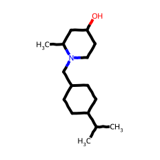 CC(C)C1CCC(CN2CCC(O)CC2C)CC1